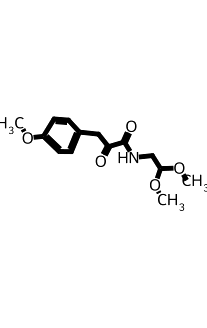 COc1ccc(CC(=O)C(=O)NCC(OC)OC)cc1